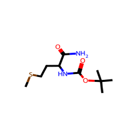 CSCCC(NC(=O)OC(C)(C)C)C(N)=O